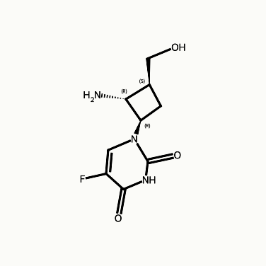 N[C@@H]1[C@@H](CO)C[C@H]1n1cc(F)c(=O)[nH]c1=O